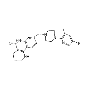 Cc1cc(F)cnc1N1CCN(Cc2ccc3c4c(c(=O)[nH]c3c2)CCCN4)CC1